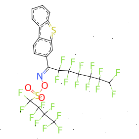 O=S(=O)(O/N=C(/c1ccc2c(c1)sc1ccccc12)C(F)(F)C(F)(F)C(F)(F)C(F)(F)C(F)(F)C(F)F)C(F)(F)C(F)(F)C(F)(F)C(F)(F)F